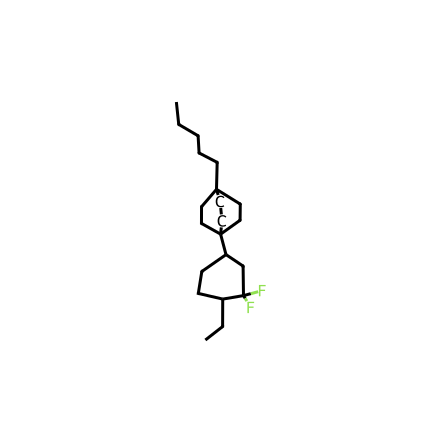 CCCCCC12CCC(C3CCC(CC)C(F)(F)C3)(CC1)CC2